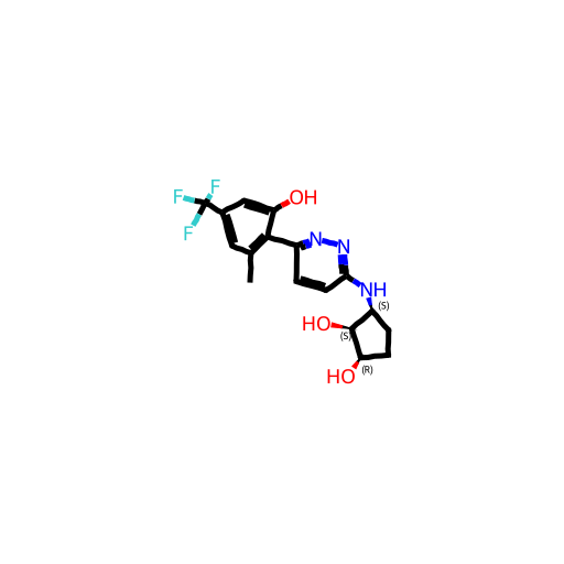 Cc1cc(C(F)(F)F)cc(O)c1-c1ccc(N[C@H]2CC[C@@H](O)[C@H]2O)nn1